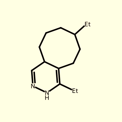 CCC1=C2CCC(CC)CCCC2C=NN1